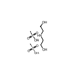 CS(=O)(=O)O.CS(=O)(=O)O.OCCNCCO